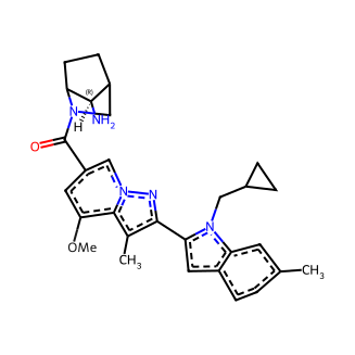 COc1cc(C(=O)N2CC3CCC2[C@@H]3N)cn2nc(-c3cc4ccc(C)cc4n3CC3CC3)c(C)c12